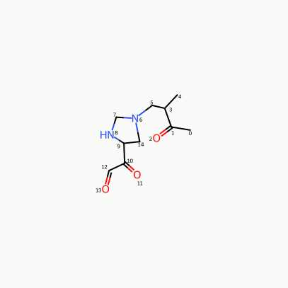 CC(=O)C(C)CN1CNC(C(=O)C=O)C1